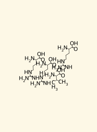 CC(C)C(N)C(=O)O.N=C(N)NCCCC(N)C(=O)O.N=C(N)NCCCC(N)C(=O)O.N=C(N)NCCCC(N)C(=O)O